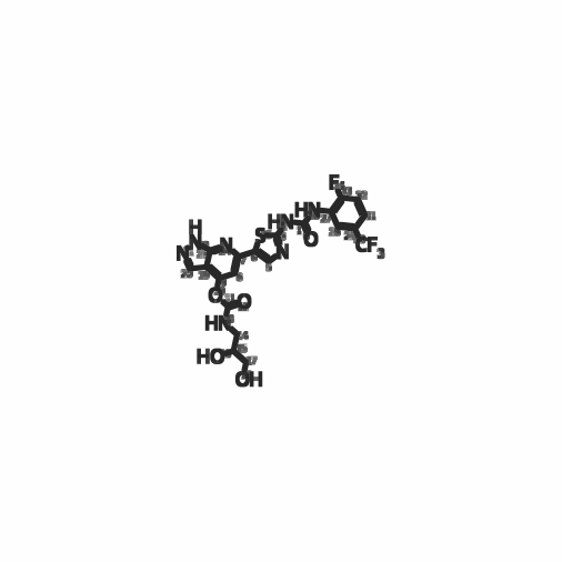 O=C(Nc1ncc(-c2cc(OC(=O)NCC(O)CO)c3cn[nH]c3n2)s1)Nc1cc(C(F)(F)F)ccc1F